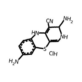 Cl.N#CC1=C2Nc3ccc(N)cc3SC2=CNC1N